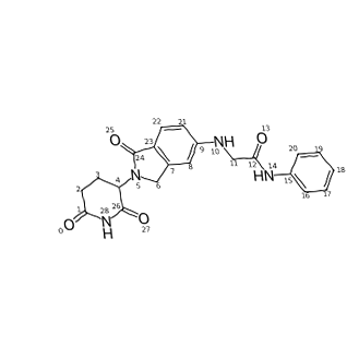 O=C1CCC(N2Cc3cc(NCC(=O)Nc4ccccc4)ccc3C2=O)C(=O)N1